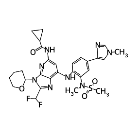 CN(c1cc(-c2cn(C)cn2)ccc1Nc1cc(NC(=O)C2CC2)nc2c1nc(C(F)F)n2C1CCCCO1)S(C)(=O)=O